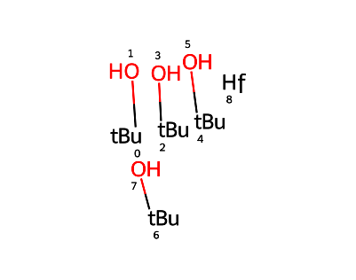 CC(C)(C)O.CC(C)(C)O.CC(C)(C)O.CC(C)(C)O.[Hf]